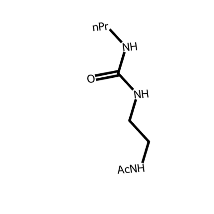 CCCNC(=O)NCCNC(C)=O